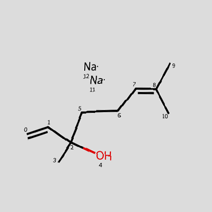 C=CC(C)(O)CCC=C(C)C.[Na].[Na]